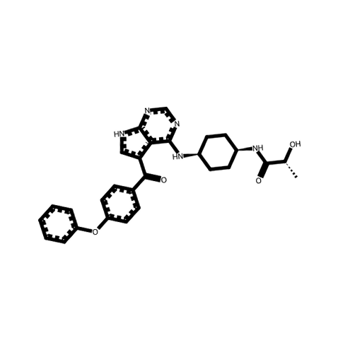 C[C@@H](O)C(=O)N[C@H]1CC[C@@H](Nc2ncnc3[nH]cc(C(=O)c4ccc(Oc5ccccc5)cc4)c23)CC1